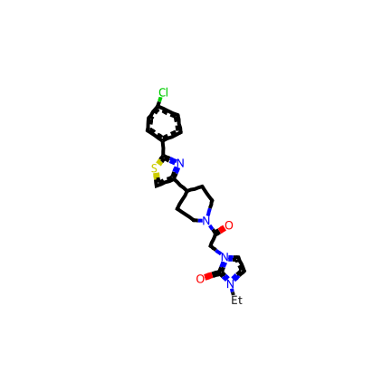 CCn1ccn(CC(=O)N2CCC(c3csc(-c4ccc(Cl)cc4)n3)CC2)c1=O